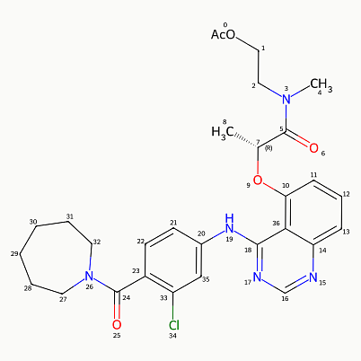 CC(=O)OCCN(C)C(=O)[C@@H](C)Oc1cccc2ncnc(Nc3ccc(C(=O)N4CCCCCC4)c(Cl)c3)c12